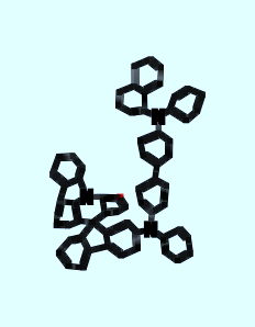 c1ccc(N(c2ccc(-c3ccc(N(c4ccccc4)c4cccc5ccccc45)cc3)cc2)c2ccc3c(c2)C2(c4ccccc4-3)c3ccccc3-n3c4ccccc4c4cccc2c43)cc1